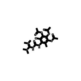 CC(=O)Oc1c(C)c(NC(=O)NC(N(C)C)=[N+](C)C)c(Cl)c(OC(C)=O)c1OC(C)=O